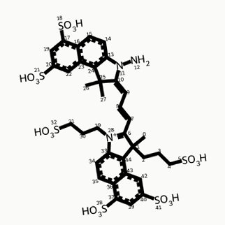 CC1(CCCS(=O)(=O)O)C(/C=C/C=C2/N(N)c3ccc4c(S(=O)(=O)O)cc(S(=O)(=O)O)cc4c3C2(C)C)=[N+](CCCS(=O)(=O)O)c2ccc3c(S(=O)(=O)O)cc(S(=O)(=O)O)cc3c21